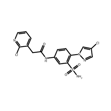 NS(=O)(=O)c1cc(NC(=O)Cc2cccnc2Cl)ccc1-n1cc(Cl)cn1